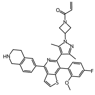 C=CC(=O)N1CC(n2nc(C)c(-c3nc(-c4ccc5c(c4)CCNC5)c4ccsc4c3-c3ccc(F)cc3OC)c2C)C1